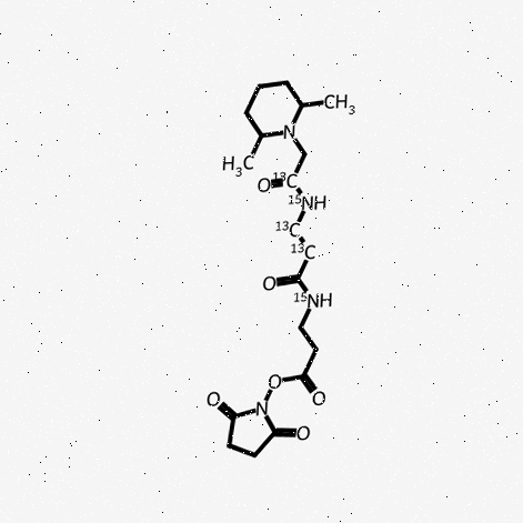 CC1CCCC(C)N1C[13C](=O)[15NH][13CH2][13CH2]C(=O)[15NH]CCC(=O)ON1C(=O)CCC1=O